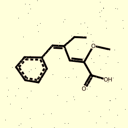 CCC(=Cc1ccccc1)C=C(OC)C(=O)O